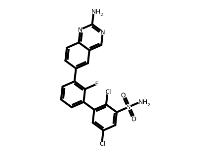 Nc1ncc2cc(-c3cccc(-c4cc(Cl)cc(S(N)(=O)=O)c4Cl)c3F)ccc2n1